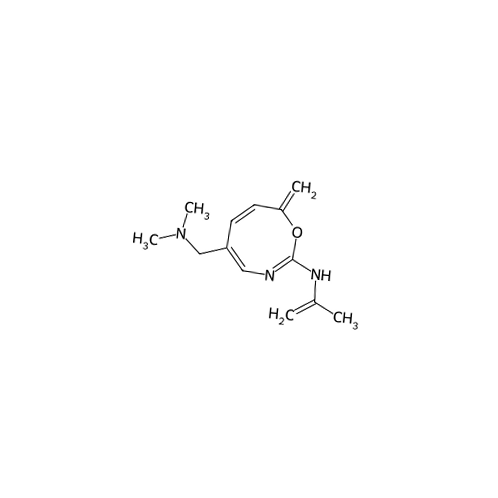 C=C(C)N/C1=N/C=C(CN(C)C)\C=C/C(=C)O1